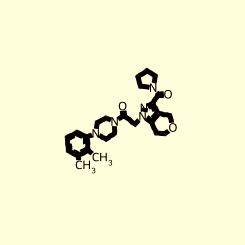 Cc1cccc(N2CCN(C(=O)Cn3nc(C(=O)N4CCCC4)c4c3CCOC4)CC2)c1C